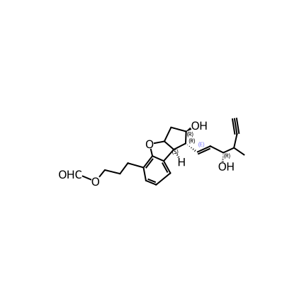 C#CC(C)[C@H](O)/C=C/[C@H]1[C@H](O)CC2Oc3c(CCCOC=O)cccc3[C@@H]21